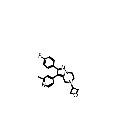 Cc1cc(-c2c(-c3ccc(F)cc3)nn3c2CN(C2COC2)CC3)ccn1